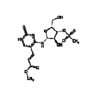 COC(=O)C=Cc1c[nH]c(=O)nc1N[C@@H]1O[C@H](CO)[C@H](OS(C)(=O)=O)[C@H]1O